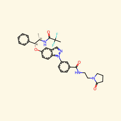 C[C@H](NC(=O)C(C)(F)F)[C@H](Oc1ccc2c(cnn2-c2cccc(C(=O)NCCN3CCCC3=O)c2)c1)c1ccccc1